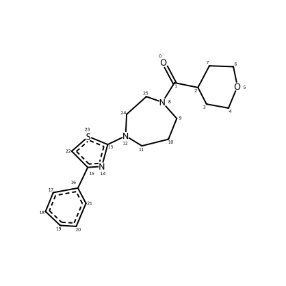 O=C(C1CCOCC1)N1CCCN(c2nc(-c3ccccc3)cs2)CC1